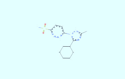 NS(=O)(=O)c1ccc(-n2nc(C(F)(F)F)nc2C2CCCCC2)nn1